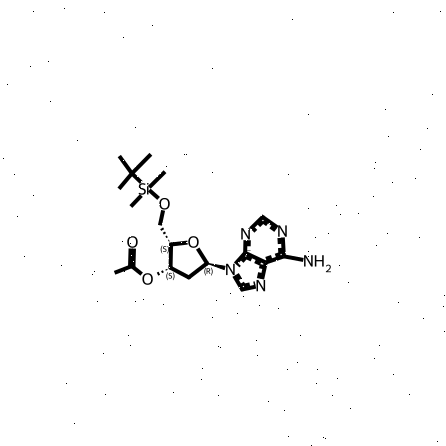 CC(=O)O[C@H]1C[C@H](n2cnc3c(N)ncnc32)O[C@H]1CO[Si](C)(C)C(C)(C)C